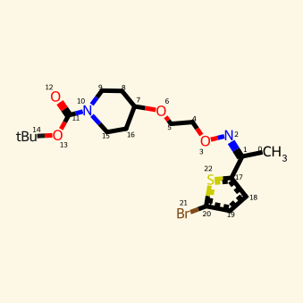 CC(=NOCCOC1CCN(C(=O)OC(C)(C)C)CC1)c1ccc(Br)s1